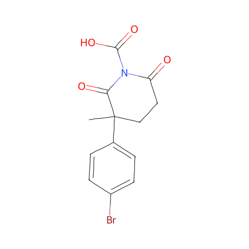 CC1(c2ccc(Br)cc2)CCC(=O)N(C(=O)O)C1=O